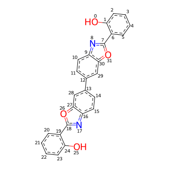 Oc1ccccc1-c1nc2ccc(-c3ccc4nc(-c5ccccc5O)oc4c3)cc2o1